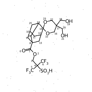 O=C(OCC(C(F)(F)F)(C(F)(F)F)S(=O)(=O)O)C12CC3CC(C1)C1(OCC(CO)(CO)CO1)C(C3)C2